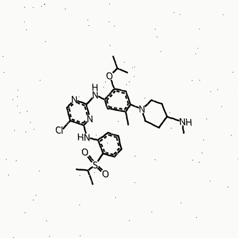 CNC1CCN(c2cc(OC(C)C)c(Nc3ncc(Cl)c(Nc4ccccc4S(=O)(=O)C(C)C)n3)cc2C)CC1